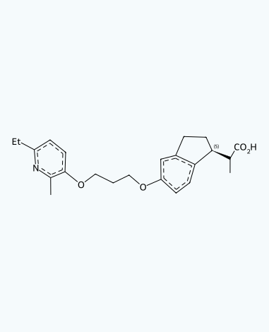 CCc1ccc(OCCCOc2ccc3c(c2)CC[C@H]3C(C)C(=O)O)c(C)n1